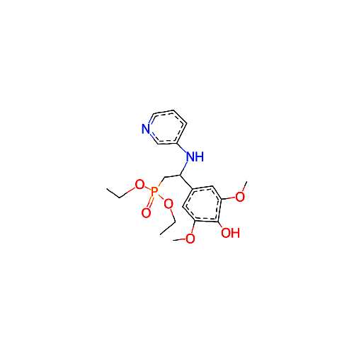 CCOP(=O)(CC(Nc1cccnc1)c1cc(OC)c(O)c(OC)c1)OCC